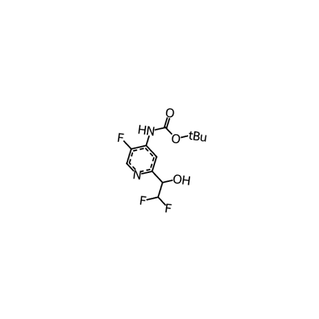 CC(C)(C)OC(=O)Nc1cc(C(O)C(F)F)ncc1F